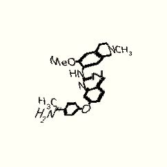 COc1cc2c(cc1Nc1ncc3ccc(Oc4ccc([C@H](C)N)cc4)cc3n1)CN(C)CC2